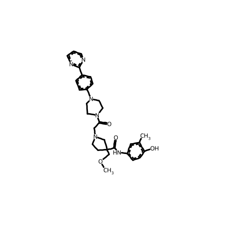 COCC1(C(=O)Nc2ccc(O)c(C)c2)CCN(CC(=O)N2CCN(c3ccc(-c4ncccn4)cc3)CC2)C1